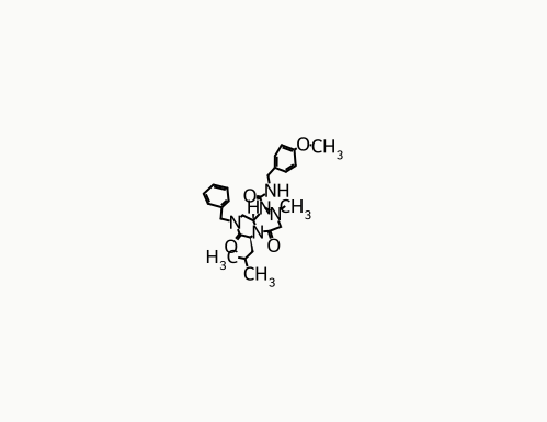 COc1ccc(CNC(=O)N2[C@H]3CN(Cc4ccccc4)C(=O)[C@H](CC(C)C)N3C(=O)CN2C)cc1